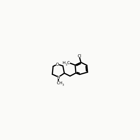 Cc1c(Cl)cccc1CC1COCCN1C